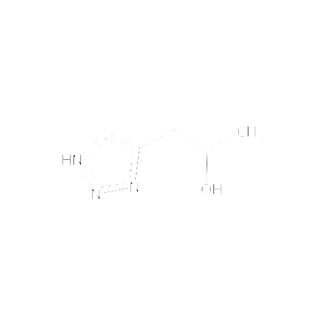 CC(O)Cc1c[nH]nn1